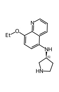 CCOc1ccc(N[C@H]2CCNC2)c2cccnc12